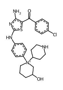 Nc1nc(Nc2ccc([N+]3(C4CCNCC4)CCCC(O)C3)cc2)sc1C(=O)c1ccc(Cl)cc1